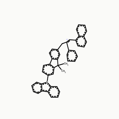 CC1(C)c2cc(C/C(=C/c3cccc4ccccc34)c3ccccc3)ccc2-c2ccc(-n3c4ccccc4c4ccccc43)cc21